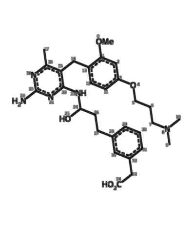 COc1cc(OCCCN(C)C)ccc1Cc1c(C)nc(N)nc1NC(O)CCc1cccc(CC(=O)O)c1